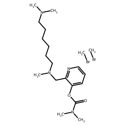 CBr.CBr.CN(C)CCCCCCN(C)Cc1ncccc1OC(=O)N(C)C